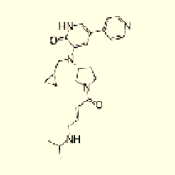 CC(C)NC/C=C/C(=O)N1CC[C@@H](N(CC2CC2)c2cc(-c3ccncc3)c[nH]c2=O)C1